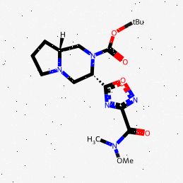 CON(C)C(=O)c1noc([C@@H]2CN3CCC[C@@H]3CN2C(=O)OC(C)(C)C)n1